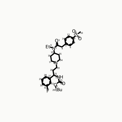 CCN(C(=O)Cc1ccc(S(C)(=O)=O)cc1)C1CCN(CCC(NC(=O)OC(C)(C)C)c2cccc(F)c2)CC1